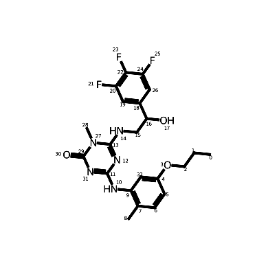 CCCOc1ccc(C)c(Nc2nc(NCC(O)c3cc(F)c(F)c(F)c3)n(C)c(=O)n2)c1